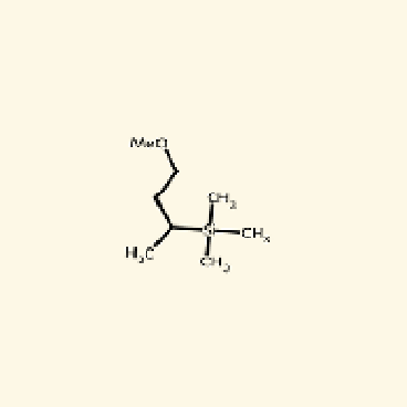 COCCC(C)[Si](C)(C)C